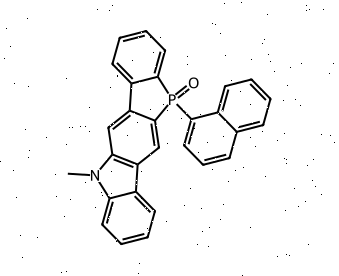 Cn1c2ccccc2c2cc3c(cc21)-c1ccccc1P3(=O)c1cccc2ccccc12